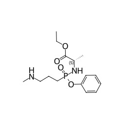 CCOC(=O)[C@H](C)NP(=O)(CCCNC)Oc1ccccc1